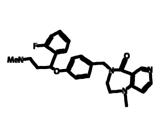 CNCCC(Oc1ccc(CN2CCN(C)c3ccncc3C2=O)cc1)c1ccccc1F